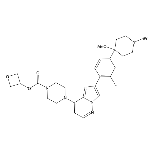 COC1(C2C=CC(c3cc4c(N5CCN(C(=O)OC6COC6)CC5)ccnn4c3)=C(F)C2)CCN(C(C)C)CC1